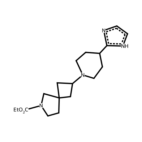 CCOC(=O)N1CCC2(CC(N3CCC(c4ncc[nH]4)CC3)C2)C1